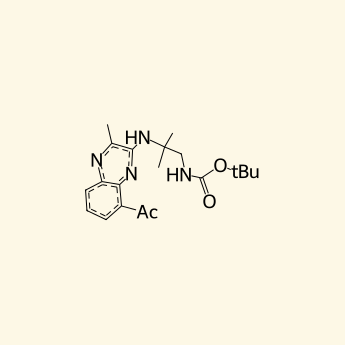 CC(=O)c1cccc2nc(C)c(NC(C)(C)CNC(=O)OC(C)(C)C)nc12